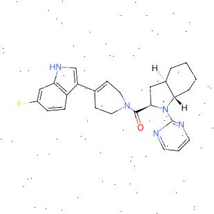 O=C([C@H]1C[C@H]2CCCC[C@@H]2N1c1ncccn1)N1CC=C(c2c[nH]c3cc(F)ccc23)CC1